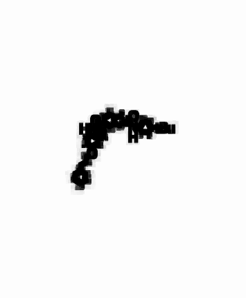 CC(C)(C)c1ccc(NC(=O)N2Cc3ccc(S(=O)(=O)Nc4ccc(OCCCc5ccccc5)cc4F)cc3C2)cc1